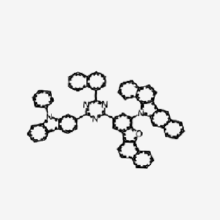 c1ccc(-n2c3ccccc3c3ccc(-c4nc(-c5cc(-n6c7cc8ccccc8cc7c7ccc8ccccc8c76)c6oc7c8ccccc8ccc7c6c5)nc(-c5cccc6ccccc56)n4)cc32)cc1